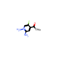 COC(=O)c1cc(N)[n+](N)cc1F